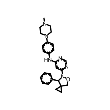 CN1CCN(c2ccc(Nc3cc(N4OCC5(CC5)C4c4ccccc4)ncn3)cc2)CC1